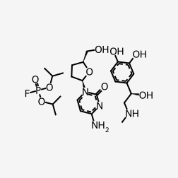 CC(C)OP(=O)(F)OC(C)C.CNC[C@H](O)c1ccc(O)c(O)c1.Nc1ccn([C@H]2CC[C@@H](CO)O2)c(=O)n1